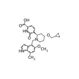 COc1cc(C)c2[nH]ccc2c1CN1CC[C@@H](OCC2CC2)C[C@@H]1c1ccc(C(=O)O)[nH]c1=O